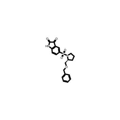 O=C1Nc2ccc(S(=O)(=O)N3CCC[C@H]3COCc3ccccc3)cc2C1=O